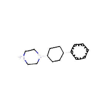 c1ccc([C@H]2CC[C@@H](N3CCNCC3)CC2)cc1